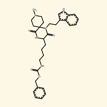 CN1CCC2(CC1)C(=O)NC(CCCCNC(=O)OCc1ccccc1)C(=O)N2CCc1c[nH]c2ccccc12